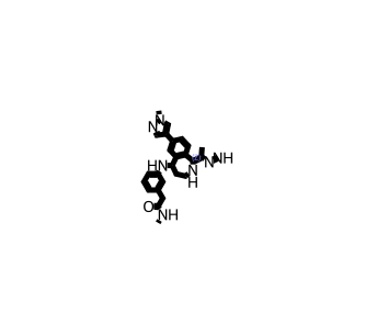 CNC(=O)Cc1cccc(NC2CCN/C(=C(/C)N=N)c3ccc(-c4cnn(C)c4)cc32)c1